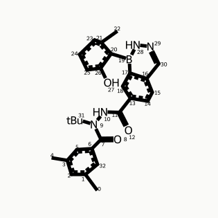 Cc1cc(C)cc(C(=O)N(NC(=O)c2ccc3c(c2)B(c2c(C)cccc2O)NN=C3)C(C)(C)C)c1